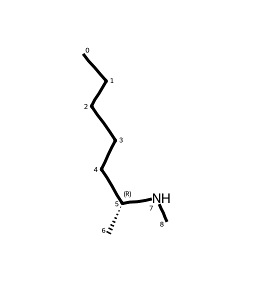 CCCCC[C@@H](C)NC